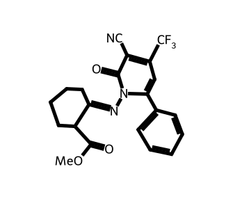 COC(=O)C1CCCCC1=Nn1c(-c2ccccc2)cc(C(F)(F)F)c(C#N)c1=O